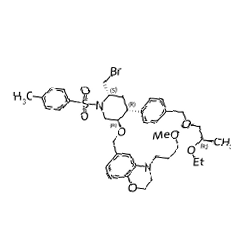 CCO[C@H](C)COCc1ccc([C@H]2C[C@@H](CBr)N(S(=O)(=O)c3ccc(C)cc3)C[C@@H]2OCc2ccc3c(c2)N(CCCOC)CCO3)cc1